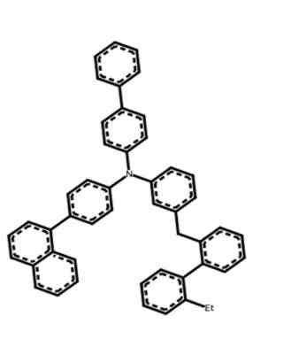 CCc1ccccc1-c1ccccc1Cc1cccc(N(c2ccc(-c3ccccc3)cc2)c2ccc(-c3cccc4ccccc34)cc2)c1